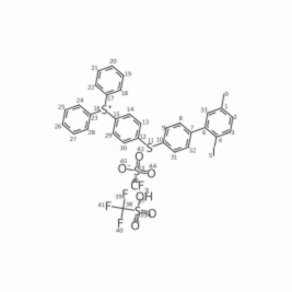 Cc1ccc(I)c(-c2ccc(Sc3ccc([S+](c4ccccc4)c4ccccc4)cc3)cc2)c1.O=S(=O)(O)C(F)(F)F.O=S(=O)([O-])C(F)(F)F